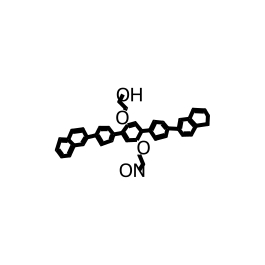 O=NCCOC1C=C(c2ccc(-c3ccc4ccccc4c3)cc2)C(OCCO)=CC1c1ccc(-c2ccc3c(c2)C=CCC3)cc1